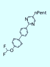 CCCCCc1cnc(-c2ccc(-c3ccc(OC(F)F)cc3)cc2)nc1